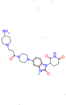 Cn1c(=O)n(C2CCC(=O)NC2=O)c2ccc(N3CCN(C(=O)CCN4CCC(N)CC4)CC3)cc21